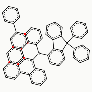 c1ccc(-c2ccc(-c3c(N(c4ccccc4-c4ccccc4)c4cccc5c4-c4ccccc4C5(c4ccccc4)c4ccccc4)c4ccccc4c4ccccc34)cc2)cc1